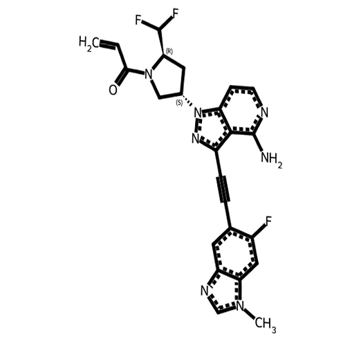 C=CC(=O)N1C[C@@H](n2nc(C#Cc3cc4ncn(C)c4cc3F)c3c(N)nccc32)C[C@@H]1C(F)F